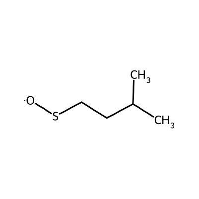 CC(C)CCS[O]